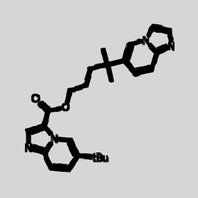 CC(C)(C)c1ccc2ncc(C(=O)OCCCC(C)(C)c3ccc4nccn4c3)n2c1